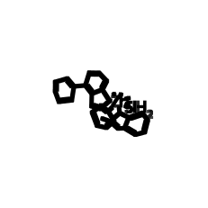 CC1=Cc2ccccc2[CH]1[Zr]([CH3])([CH3])([CH3])(=[SiH2])([c]1ccccc1)[CH]1C=Cc2c(-c3ccccc3)cccc21